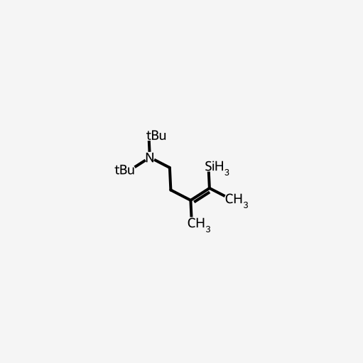 CC([SiH3])=C(C)CCN(C(C)(C)C)C(C)(C)C